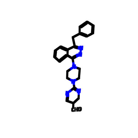 O=CC1C=NC(N2CCN(c3nnc(Cc4ccccc4)c4ccccc34)CC2)=NC1